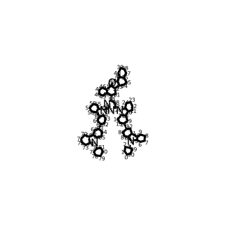 c1ccc(-n2c3ccccc3c3cc(-c4ccc5c(c4)c4ccccc4n5-c4cc(-c5cc6c7ccc8ccccc8c7oc6c6ccccc56)nc(-n5c6ccccc6c6cc(-c7ccc8c(c7)c7ccccc7n8-c7ccccc7)ccc65)n4)ccc32)cc1